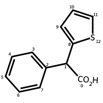 O=C(O)C(c1ccccc1)c1cccs1